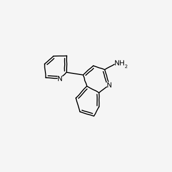 Nc1cc(-c2ccccn2)c2ccccc2n1